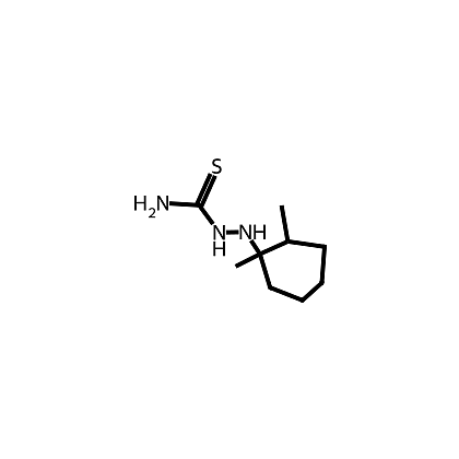 CC1CCCCC1(C)NNC(N)=S